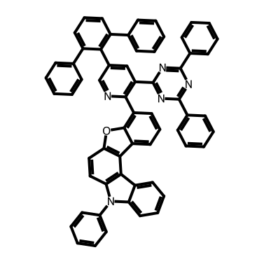 c1ccc(-c2nc(-c3ccccc3)nc(-c3cc(-c4c(-c5ccccc5)cccc4-c4ccccc4)cnc3-c3cccc4c3oc3ccc5c(c6ccccc6n5-c5ccccc5)c34)n2)cc1